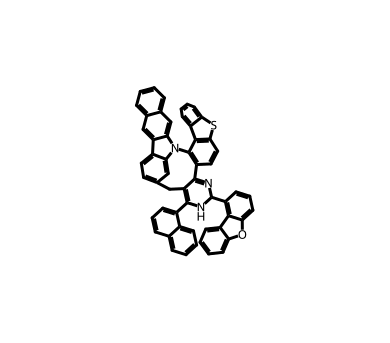 c1ccc2cc3c(cc2c1)c1ccc2cc1n3-c1c(ccc3sc4ccccc4c13)C1=NC(c3cccc4oc5ccccc5c34)NC(c3cccc4ccccc34)=C1C2